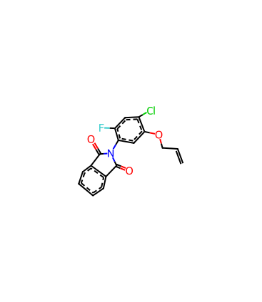 C=CCOc1cc(N2C(=O)c3ccccc3C2=O)c(F)cc1Cl